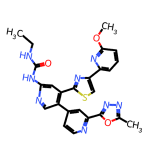 CCNC(=O)Nc1cc(-c2nc(-c3cccc(OC)n3)cs2)c(-c2ccnc(-c3nnc(C)o3)c2)cn1